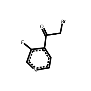 O=C(CBr)c1ccncc1F